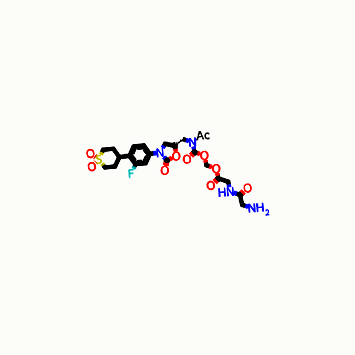 CC(=O)N(C[C@H]1CN(c2ccc(C3CCS(=O)(=O)CC3)c(F)c2)C(=O)O1)C(=O)OCOC(=O)CNC(=O)CN